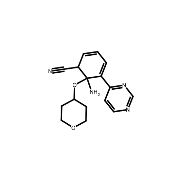 N#CC1C=CC=C(c2ccncn2)C1(N)OC1CCOCC1